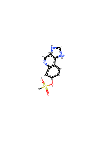 CS(=O)(=O)Oc1ccc2c(c1)ncc1nc[nH]c12